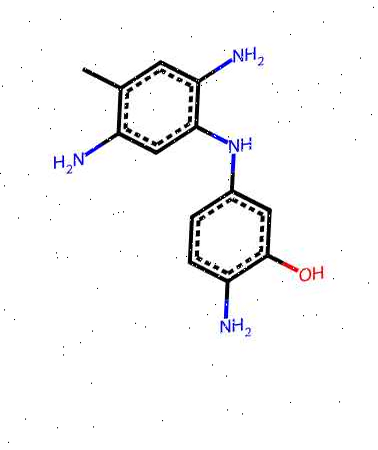 Cc1cc(N)c(Nc2ccc(N)c(O)c2)cc1N